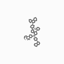 CC1(C)c2ccccc2-c2ccc(N(c3ccc(-c4ccccc4-n4c5ccccc5c5ccc(-c6cc7ccccc7c7ccccc67)cc54)cc3)c3ccc(-c4cccc5ccccc45)cc3)cc21